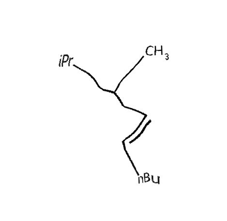 CCCCC=CC(C)CC(C)C